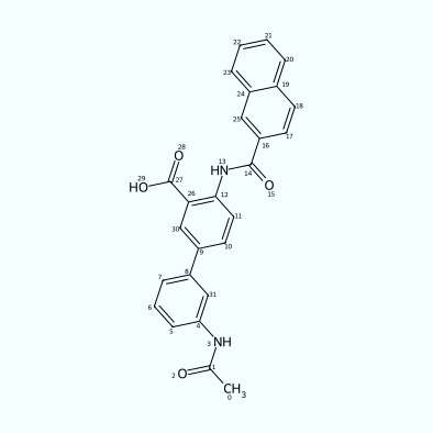 CC(=O)Nc1cccc(-c2ccc(NC(=O)c3ccc4ccccc4c3)c(C(=O)O)c2)c1